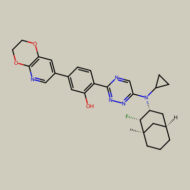 C[C@]12CCC[C@H](C[C@@H](N(c3cnc(-c4ccc(-c5cnc6c(c5)OCCO6)cc4O)nn3)C3CC3)[C@H]1F)C2